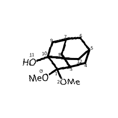 COC1(OC)C2CC3CC(C2)CC1(O)C3